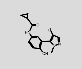 Cn1ncc(Cl)c1-c1cc(NC(=O)C2CC2)ccc1O